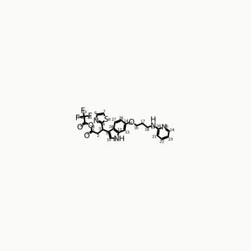 O=C(CC(c1nccs1)c1c[nH]c2cc(OCCCNc3ccccn3)ccc12)OC(=O)C(F)(F)F